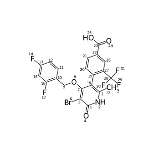 Cc1[nH]c(=O)c(Br)c(OCc2ccc(F)cc2F)c1-c1ccc(C(=O)O)cc1C(F)(F)F